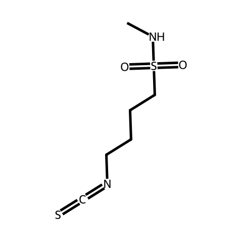 CNS(=O)(=O)CCCCN=C=S